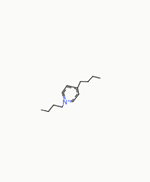 CCCCc1cc[n+](CCCC)cc1